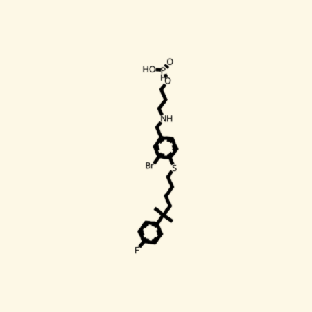 CC(C)(CCCCSc1ccc(CNCCCO[PH](=O)O)cc1Br)c1ccc(F)cc1